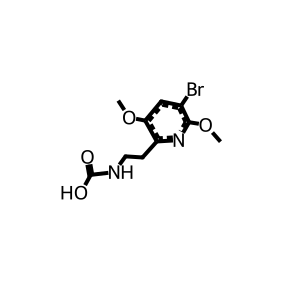 COc1cc(Br)c(OC)nc1CCNC(=O)O